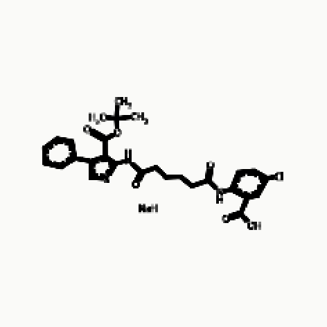 CC(C)(C)OC(=O)c1c(-c2ccccc2)csc1NC(=O)CCCCC(=O)Nc1ccc(Cl)cc1C(=O)O.[NaH]